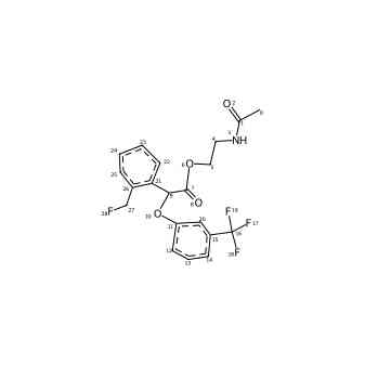 CC(=O)NCCOC(=O)C(Oc1cccc(C(F)(F)F)c1)c1ccccc1CF